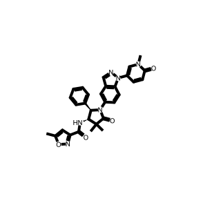 Cc1cc(C(=O)N[C@@H]2[C@@H](c3ccccc3)N(c3ccc4c(cnn4-c4ccc(=O)n(C)c4)c3)C(=O)C2(C)C)no1